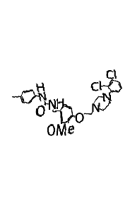 COc1cc(CNC(=O)Nc2ccc(C)cc2)ccc1OCCN1CCN(c2cccc(Cl)c2Cl)CC1